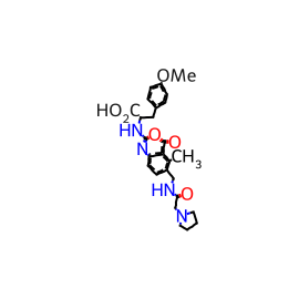 COc1ccc(C[C@H](Nc2nc3ccc(CNC(=O)CN4CCCC4)c(C)c3c(=O)o2)C(=O)O)cc1